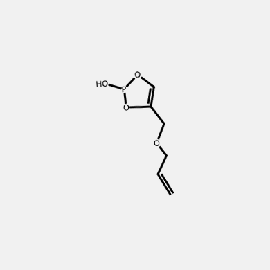 C=CCOCC1=COP(O)O1